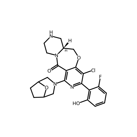 O=C1c2c(N3CC4CCC(C3)O4)nc(-c3c(O)cccc3F)c(Cl)c2OC[C@H]2CNCCN12